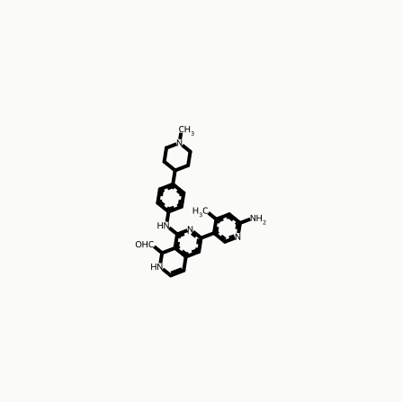 Cc1cc(N)ncc1-c1cc2c(c(Nc3ccc(C4CCN(C)CC4)cc3)n1)C(C=O)NC=C2